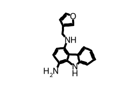 Nc1ccc(NCc2ccoc2)c2c1[nH]c1ccccc12